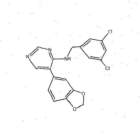 Clc1cc(Cl)cc(CNc2ncncc2-c2ccc3c(c2)OCO3)c1